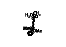 C=C(C)C(=O)OCCCCC[Si](OC)(OC)c1ccccc1